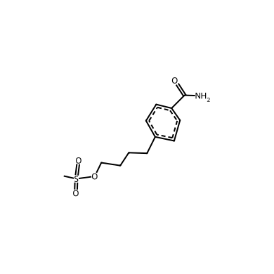 CS(=O)(=O)OCCCCc1ccc(C(N)=O)cc1